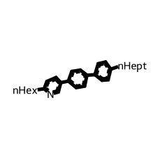 CCCCCCCc1ccc(-c2ccc(-c3ccc(CCCCCC)nc3)cc2)cc1